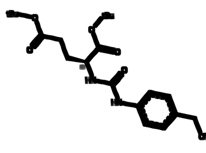 CC(C)(C)OC(=O)CC[C@H](NC(=O)Nc1ccc(CO)cc1)C(=O)OC(C)(C)C